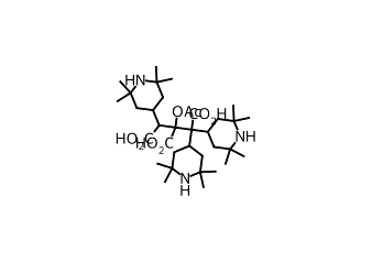 CC(=O)OC(C(=O)O)(C(C(=O)O)C1CC(C)(C)NC(C)(C)C1)C(C(=O)O)(C1CC(C)(C)NC(C)(C)C1)C1CC(C)(C)NC(C)(C)C1